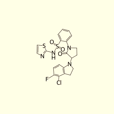 O=C1C(N2CCc3c2ccc(F)c3Cl)CCN1c1ccccc1S(=O)(=O)Nc1nccs1